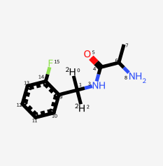 [2H]C([2H])(NC(=O)C(C)N)c1ccccc1F